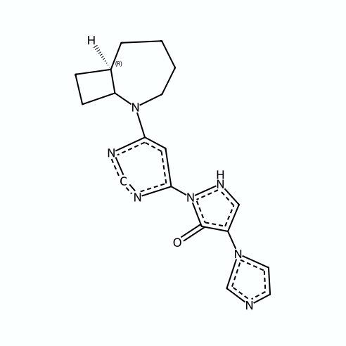 O=c1c(-n2ccnc2)c[nH]n1-c1cc(N2CCCC[C@@H]3CCC32)ncn1